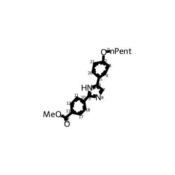 CCCCCOc1ccc(-c2cnc(-c3ccc(C(=O)OC)cc3)[nH]2)cc1